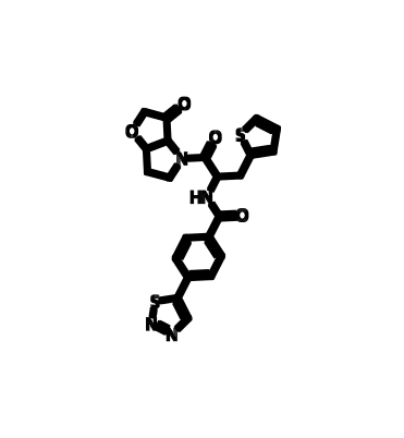 O=C(NC(Cc1cccs1)C(=O)N1CCC2OCC(=O)C21)c1ccc(-c2cnns2)cc1